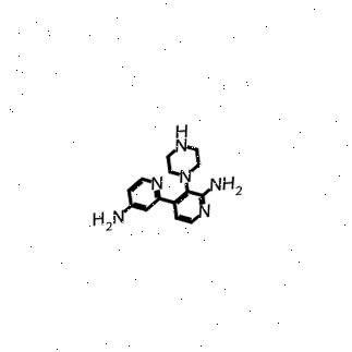 Nc1ccnc(-c2ccnc(N)c2N2CCNCC2)c1